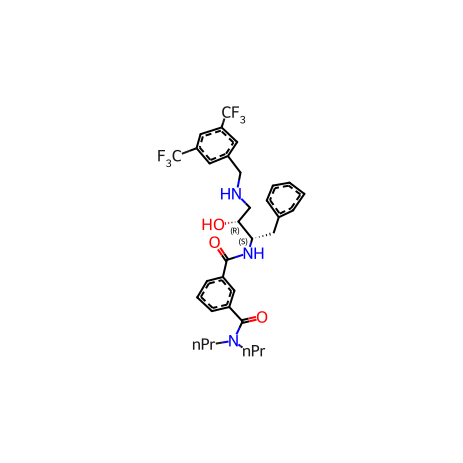 CCCN(CCC)C(=O)c1cccc(C(=O)N[C@@H](Cc2ccccc2)[C@H](O)CNCc2cc(C(F)(F)F)cc(C(F)(F)F)c2)c1